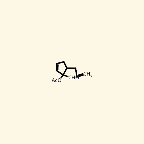 C=CCC1CC=CC1(C=O)OC(C)=O